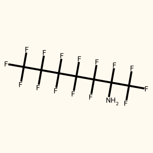 NC(F)(C(F)(F)F)C(F)(F)C(F)(F)C(F)(F)C(F)(F)C(F)(F)F